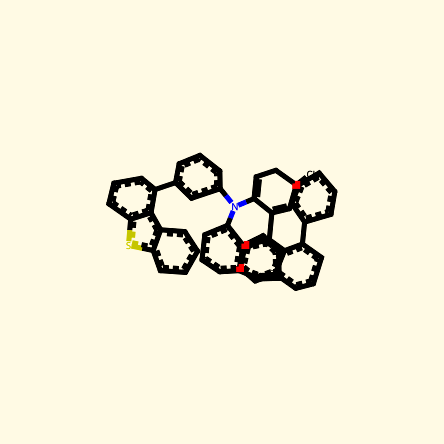 CC1C=C(c2cccc3cccc(-c4ccccc4)c23)C(N(c2cccc(-c3cccc4sc5ccccc5c34)c2)c2cccc3ccccc23)=CC1